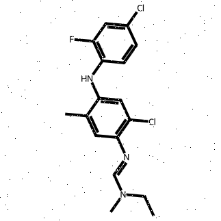 CCN(C)C=Nc1cc(C)c(Nc2ccc(Cl)cc2F)cc1Cl